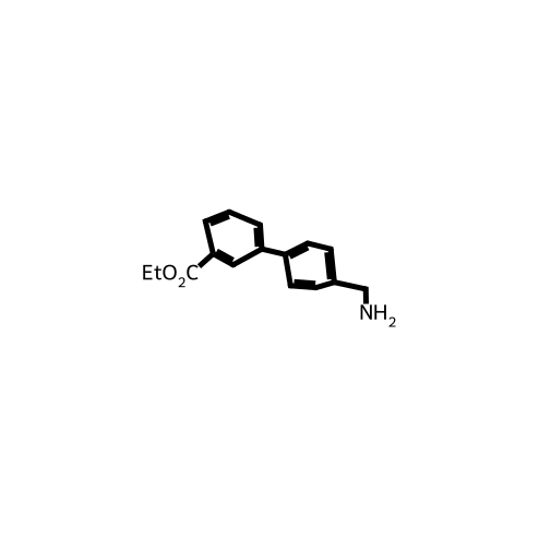 CCOC(=O)c1cccc(-c2ccc(CN)cc2)c1